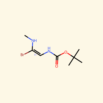 CN/C(Br)=C\NC(=O)OC(C)(C)C